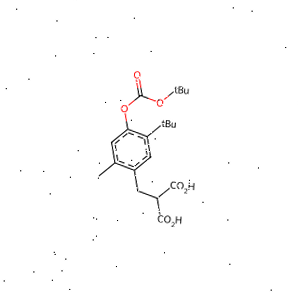 Cc1cc(OC(=O)OC(C)(C)C)c(C(C)(C)C)cc1CC(C(=O)O)C(=O)O